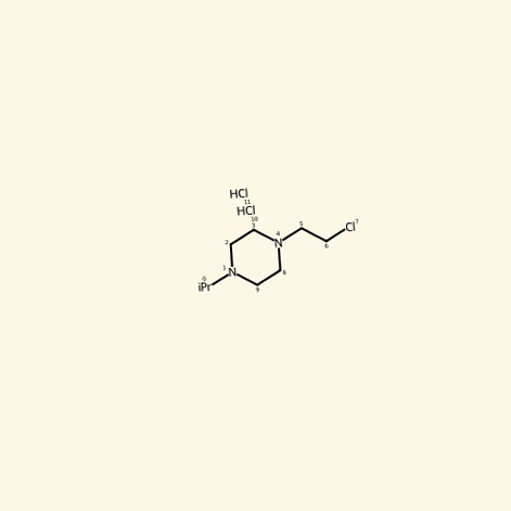 CC(C)N1CCN(CCCl)CC1.Cl.Cl